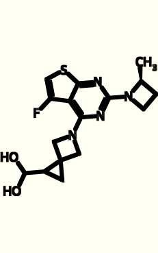 C[C@H]1CCN1c1nc(N2CC3(CC3C(O)O)C2)c2c(F)csc2n1